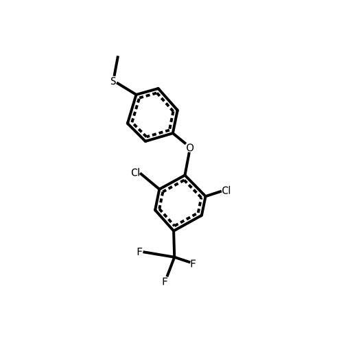 CSc1ccc(Oc2c(Cl)cc(C(F)(F)F)cc2Cl)cc1